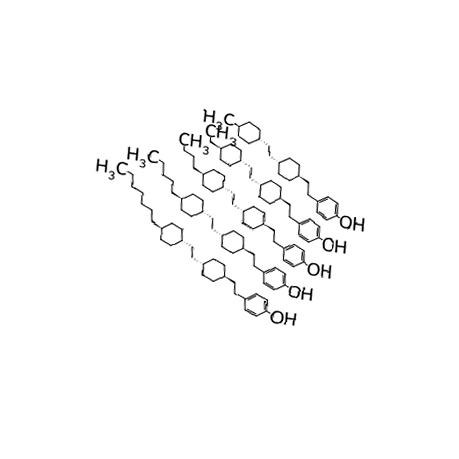 CCCCCCC[C@H]1CC[C@H](CC[C@H]2CC[C@H](CCc3ccc(O)cc3)CC2)CC1.CCCCC[C@H]1CC[C@H](CC[C@H]2CC[C@H](CCc3ccc(O)cc3)CC2)CC1.CCCC[C@H]1CC[C@H](CC[C@H]2CC[C@H](CCc3ccc(O)cc3)CC2)CC1.CC[C@H]1CC[C@H](CC[C@H]2CC[C@H](CCc3ccc(O)cc3)CC2)CC1.C[C@H]1CC[C@H](CC[C@H]2CC[C@H](CCc3ccc(O)cc3)CC2)CC1